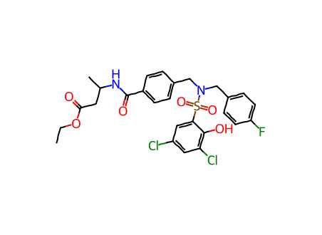 CCOC(=O)CC(C)NC(=O)c1ccc(CN(Cc2ccc(F)cc2)S(=O)(=O)c2cc(Cl)cc(Cl)c2O)cc1